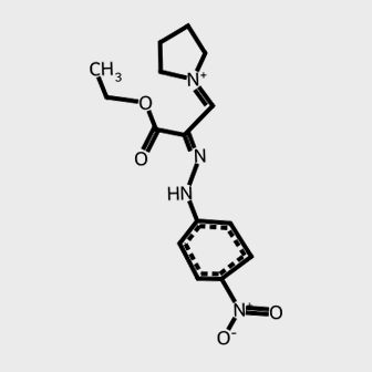 CCOC(=O)/C(C=[N+]1CCCC1)=N\Nc1ccc([N+](=O)[O-])cc1